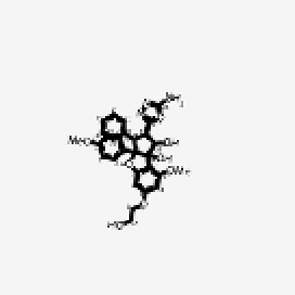 COc1ccc(C23Oc4cc(OCCO)cc(OC)c4C2(O)C(O)C(c2nnc(N)o2)C3c2ccccc2)cc1